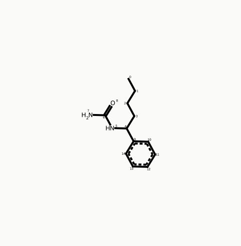 CCCCC(NC(N)=O)c1ccccc1